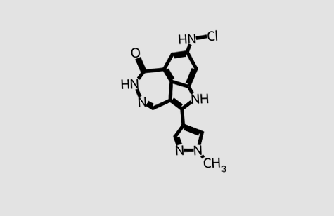 Cn1cc(-c2[nH]c3cc(NCl)cc4c3c2C=NNC4=O)cn1